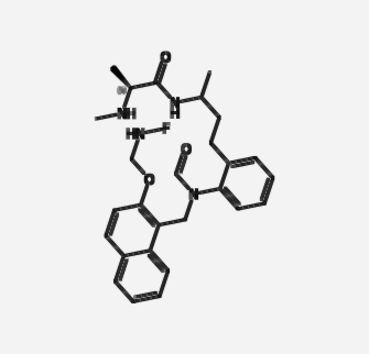 CN[C@@H](C)C(=O)NC(C)CCc1ccccc1N(C=O)Cc1c(OCNF)ccc2ccccc12